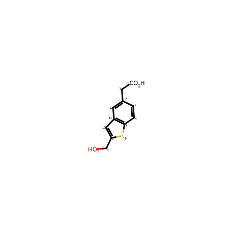 O=C(O)Cc1ccc2sc(CO)cc2c1